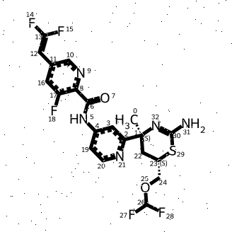 C[C@@]1(c2cc(NC(=O)c3ncc(C=C(F)F)cc3F)ccn2)C[C@@H](COC(F)F)SC(N)=N1